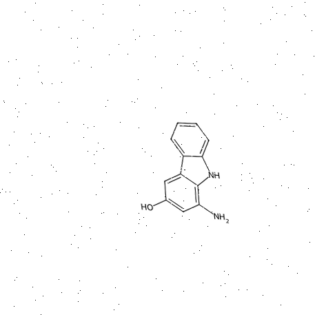 Nc1cc(O)cc2c1[nH]c1ccccc12